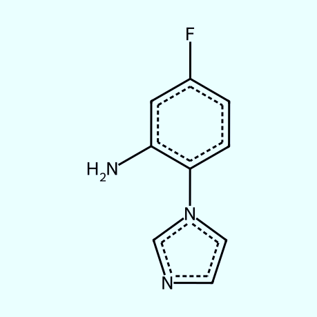 Nc1cc(F)ccc1-n1ccnc1